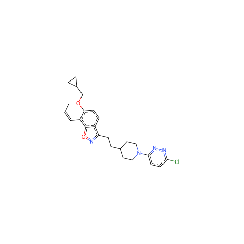 C/C=C\c1c(OCC2CC2)ccc2c(CCC3CCN(c4ccc(Cl)nn4)CC3)noc12